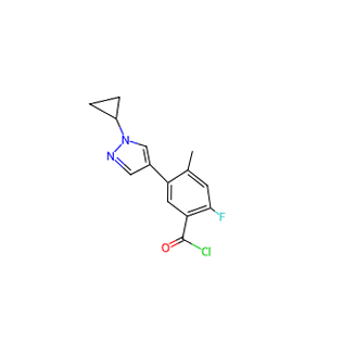 Cc1cc(F)c(C(=O)Cl)cc1-c1cnn(C2CC2)c1